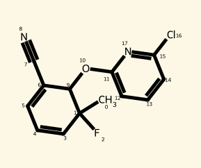 CC1(F)C=CC=C(C#N)C1Oc1cccc(Cl)n1